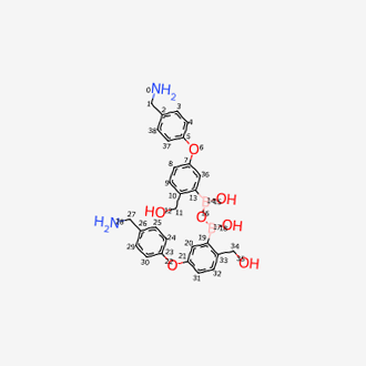 NCc1ccc(Oc2ccc(CO)c(B(O)OB(O)c3cc(Oc4ccc(CN)cc4)ccc3CO)c2)cc1